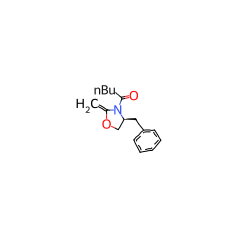 C=C1OC[C@H](Cc2ccccc2)N1C(=O)CCCC